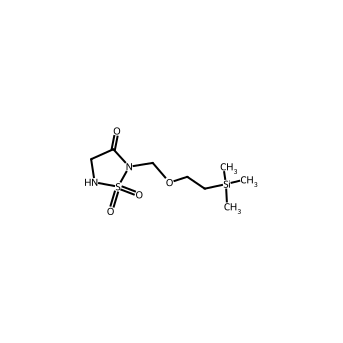 C[Si](C)(C)CCOCN1C(=O)CNS1(=O)=O